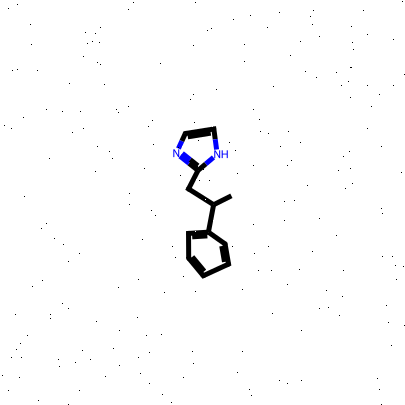 CC(Cc1ncc[nH]1)c1ccccc1